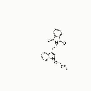 O=C1c2ccccc2C(=O)N1CCc1cn(OCC(F)(F)F)c2ccccc12